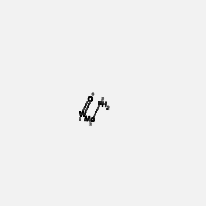 [O]=[W].[PH2][Mo]